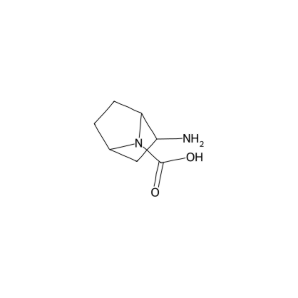 NC1CC2CCC1N2C(=O)O